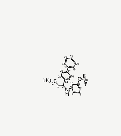 O=C(O)CC(Nc1cccc(OC(F)F)c1)c1ccc(-c2ccccc2)cc1